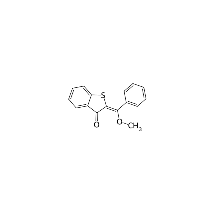 CO/C(=C1/Sc2ccccc2C1=O)c1ccccc1